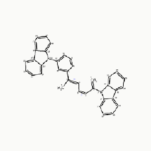 C=C(/C=C\C=C(/C)c1cccc(-n2c3ccccc3c3ccccc32)c1)n1c2ccccc2c2ccccc21